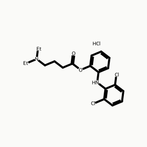 CCN(CC)CCCC(=O)Oc1ccccc1Nc1c(Cl)cccc1Cl.Cl